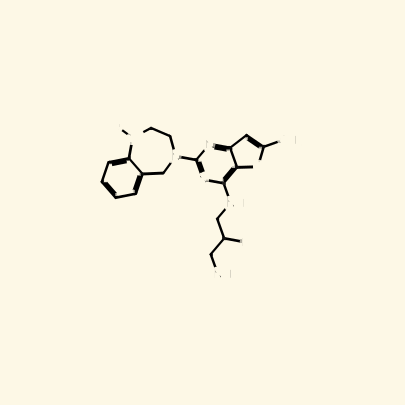 Cc1cc2nc(N3CC[S+]([O-])c4ccccc4C3)nc(NCC(F)CN)c2s1